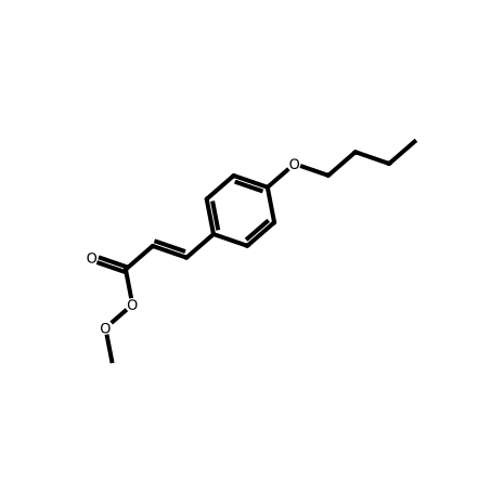 CCCCOc1ccc(/C=C/C(=O)OOC)cc1